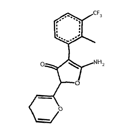 Cc1c(C2=C(N)OC(C3=CCC=CO3)C2=O)cccc1C(F)(F)F